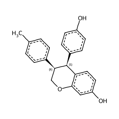 Cc1ccc([C@@H]2COc3cc(O)ccc3[C@@H]2c2ccc(O)cc2)cc1